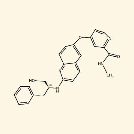 CNC(=O)c1cc(Oc2ccc3nc(N[C@H](CO)Cc4ccccc4)ccc3c2)ccn1